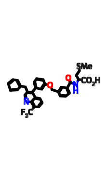 CSCCC(NC(=O)c1cccc(COc2cccc(-c3c(Cc4ccccc4)cnc4c(C(F)(F)F)cccc34)c2)c1)C(=O)O